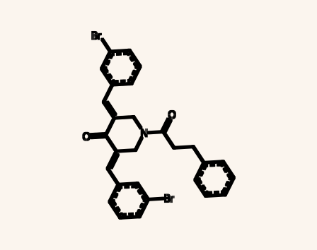 O=C1/C(=C/c2cccc(Br)c2)CN(C(=O)CCc2ccccc2)C/C1=C\c1cccc(Br)c1